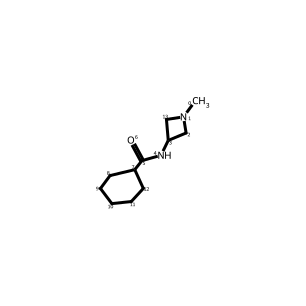 CN1CC(NC(=O)C2CCCCC2)C1